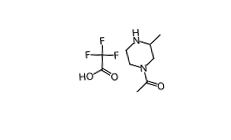 CC(=O)N1CCNC(C)C1.O=C(O)C(F)(F)F